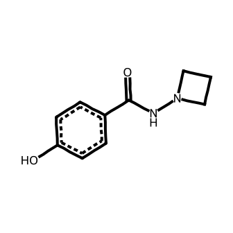 O=C(NN1CCC1)c1ccc(O)cc1